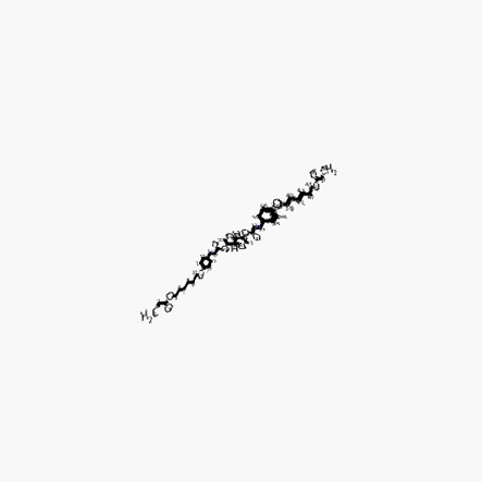 C=CC(=O)OCCCCCCOc1ccc(/C=C/C(=O)O[C@H]2CO[C@H]3[C@@H]2OC[C@H]3OC(=O)/C=C/c2ccc(OCCCCCCOC(=O)C=C)cc2)cc1